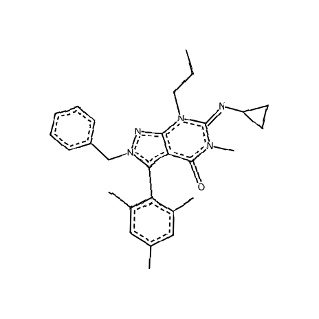 CCCn1c(=NC2CC2)n(C)c(=O)c2c(-c3c(C)cc(C)cc3C)n(Cc3ccccc3)nc21